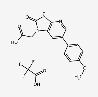 COc1ccc(-c2cnc3[nH]c(=O)n(CC(=O)O)c3c2)cc1.O=C(O)C(F)(F)F